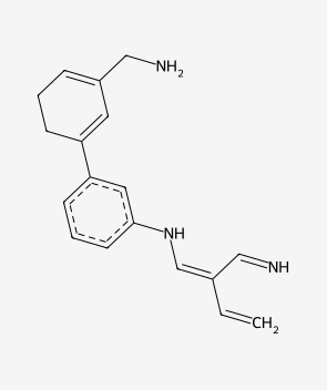 C=C/C(C=N)=C/Nc1cccc(C2=CC(CN)=CCC2)c1